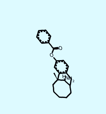 C[C@@]12CCCCCC(Cc3ccc(OC(=O)c4ccccc4)cc31)[C@@H]2N